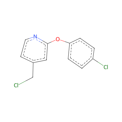 ClCc1ccnc(Oc2ccc(Cl)cc2)c1